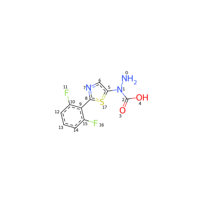 NN(C(=O)O)c1cnc(-c2c(F)cccc2F)s1